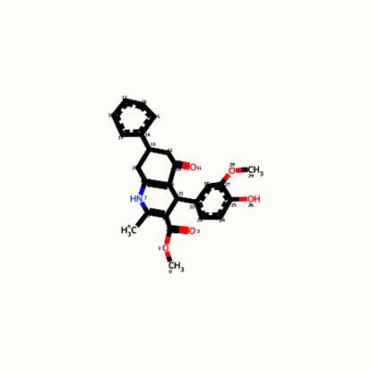 COC(=O)C1=C(C)NC2=C(C(=O)CC(c3ccccc3)C2)C1c1ccc(O)c(OC)c1